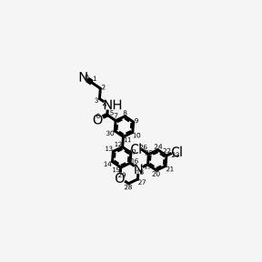 N#CCCNC(=O)c1cccc(-c2ccc3c(c2)N(c2ccc(Cl)cc2Cl)CCO3)c1